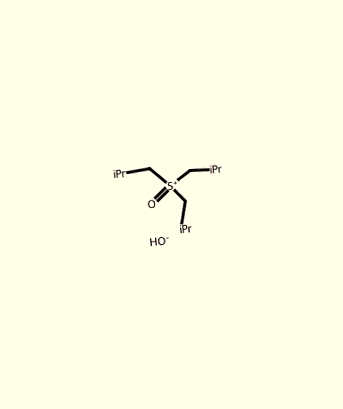 CC(C)C[S+](=O)(CC(C)C)CC(C)C.[OH-]